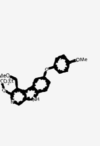 CCOC(=O)Oc1ncc2[nH]c3ccc(Oc4ccc(OC)cc4)cc3c2c1COC